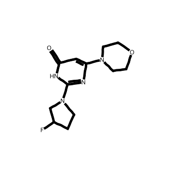 O=c1cc(N2CCOCC2)nc(N2CCC(F)C2)[nH]1